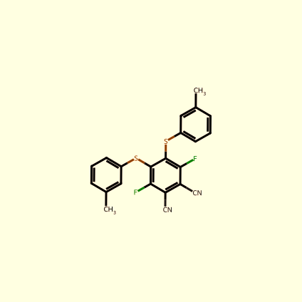 Cc1cccc(Sc2c(F)c(C#N)c(C#N)c(F)c2Sc2cccc(C)c2)c1